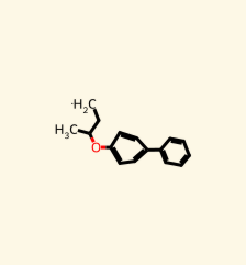 [CH2]CC(C)Oc1ccc(-c2ccccc2)cc1